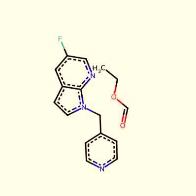 CCOC=O.Fc1cnc2c(ccn2Cc2ccncc2)c1